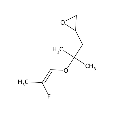 CC(F)=COC(C)(C)CC1CO1